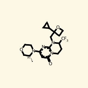 C[C@@H]1COCCN1c1cc(=O)n2c(n1)N(CC1(C3CC3)CCO1)C(C(F)(F)F)CC2